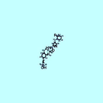 CN1C(=O)C(NC(=O)n2cc(Cc3cccnc3F)cn2)CCc2ccc(C#CC(C)(C)O)cc21